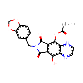 CCCCCC(=O)Oc1c2c(c(O)c3nccnc13)C(=O)N(Cc1ccc3c(c1)OCO3)C2=O